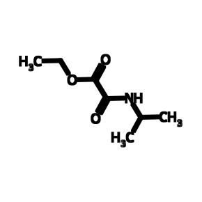 CCOC(=O)C(=O)NC(C)C